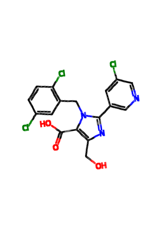 O=C(O)c1c(CO)nc(-c2cncc(Cl)c2)n1Cc1cc(Cl)ccc1Cl